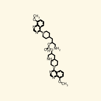 COc1cccc2c(N3CCC(CC(CN)O[PH](=O)OC(CN)CC4CCN(c5ncnc6c(OC)cccc56)CC4)CC3)ncnc12